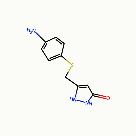 Nc1ccc(SCc2cc(=O)[nH][nH]2)cc1